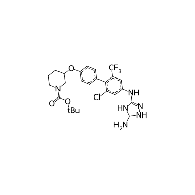 CC(C)(C)OC(=O)N1CCCC(Oc2ccc(-c3c(Cl)cc(NC4=NNC(N)N4)cc3C(F)(F)F)cc2)C1